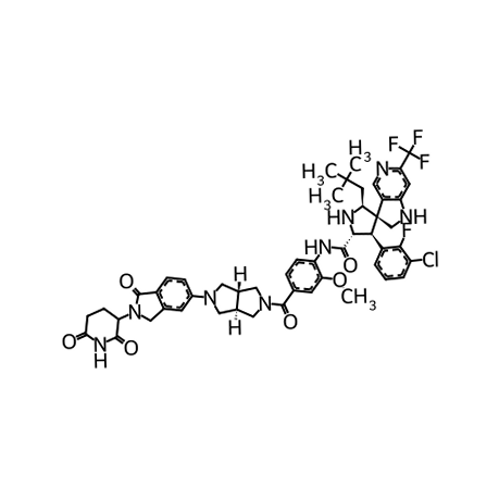 COc1cc(C(=O)N2C[C@H]3CN(c4ccc5c(c4)CN(C4CCC(=O)NC4=O)C5=O)C[C@@H]3C2)ccc1NC(=O)[C@@H]1N[C@@H](CC(C)(C)C)[C@@]2(CNc3cc(C(F)(F)F)ncc32)[C@H]1c1cccc(Cl)c1F